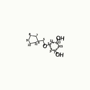 Oc1[c]c(OCC2CCCCC2)cc(O)c1